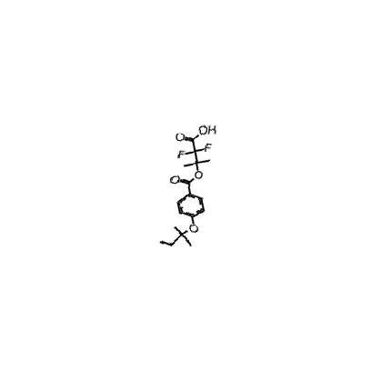 CCC(C)(C)Oc1ccc(C(=O)OC(C)(C)C(F)(F)C(=O)O)cc1